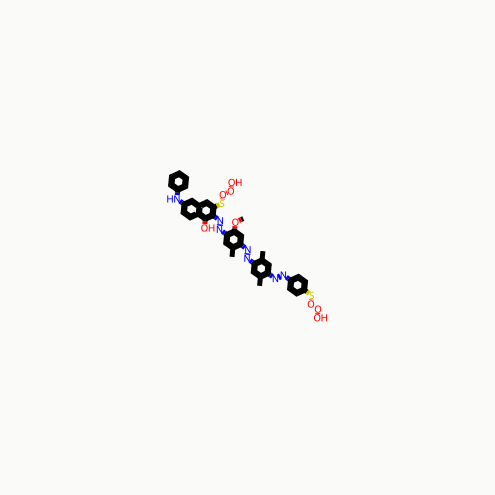 COc1cc(N=Nc2cc(C)c(N=Nc3ccc(SOOO)cc3)cc2C)c(C)cc1N=Nc1c(SOOO)cc2cc(Nc3ccccc3)ccc2c1O